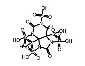 O=C1N(S(=O)(=O)O)C(=O)C2(S(=O)(=O)O)N(S(=O)(=O)O)C(=O)N(S(=O)(=O)O)C2(S(=O)(=O)O)N1S(=O)(=O)O